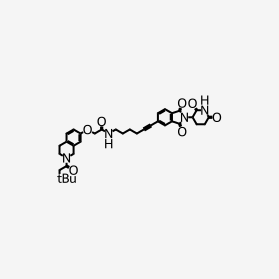 CC(C)(C)CC(=O)N1CCc2ccc(OCC(=O)NCCCCC#Cc3ccc4c(c3)C(=O)N(C3CCC(=O)NC3=O)C4=O)cc2C1